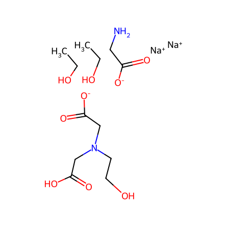 CCO.CCO.NCC(=O)[O-].O=C([O-])CN(CCO)CC(=O)O.[Na+].[Na+]